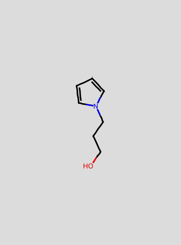 OCCCn1c[c]cc1